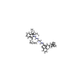 CCCCCCCCCCCCN1\C(=C/C=C/C=C/C=C/c2sc3ccccc3[n+]2CCC[N+](CC)(CC)CC)C(C)(C)c2ccccc21